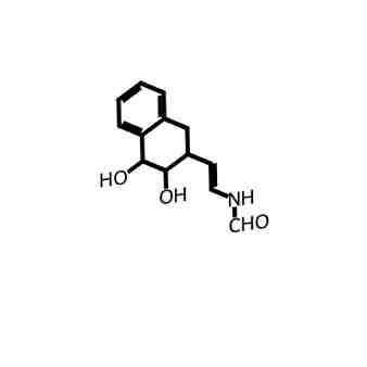 O=CNC=CC1Cc2ccccc2C(O)C1O